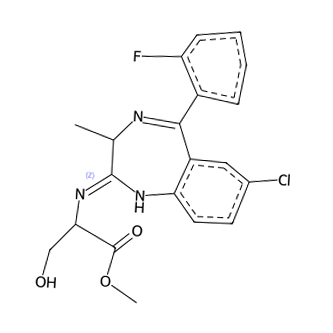 COC(=O)C(CO)/N=C1\Nc2ccc(Cl)cc2C(c2ccccc2F)=NC1C